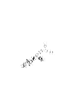 CC1(C)CCC(CN2CCN(c3ccc(C(=O)NS(=O)(=O)c4cc5c(c([N+](=O)[O-])c4)N[C@@H](CCN=S4(=O)CCOCC4)CO5)c(Oc4cnc5[nH]ccc5c4)c3)CC2)=C(c2ccc(Cl)cc2)C1